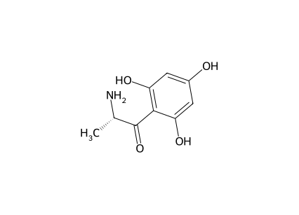 C[C@H](N)C(=O)c1c(O)cc(O)cc1O